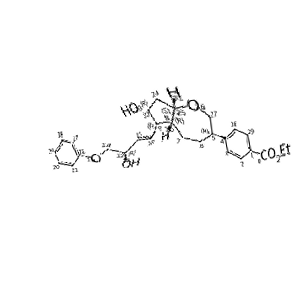 CCOC(=O)c1ccc([C@H]2CC[C@@H]3[C@@H](C=C[C@@H](O)COc4ccccc4)[C@H](O)C[C@@H]3OC2)cc1